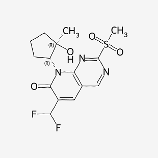 C[C@@]1(O)CCC[C@H]1n1c(=O)c(C(F)F)cc2cnc(S(C)(=O)=O)nc21